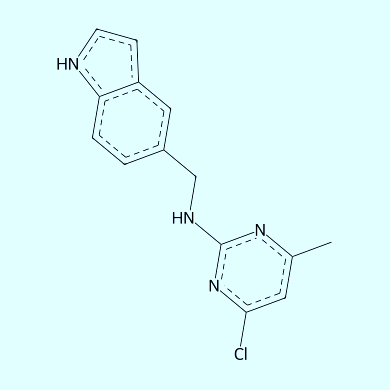 Cc1cc(Cl)nc(NCc2ccc3[nH]ccc3c2)n1